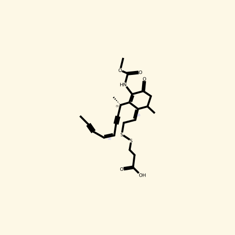 CC#C/C=C\C#C[C@H](C)C1=C(NC(=O)OC)C(=O)CC(C)/C1=C/CSSCCC(=O)O